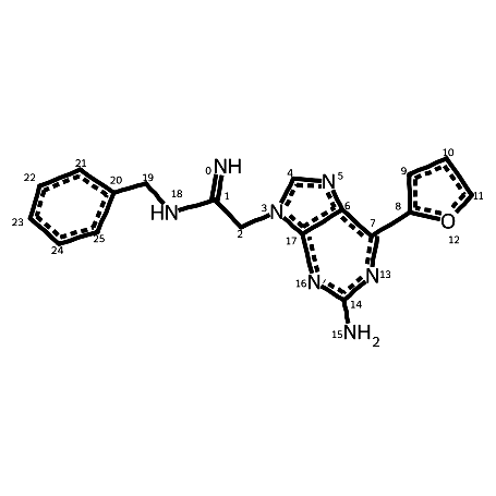 N=C(Cn1cnc2c(-c3ccco3)nc(N)nc21)NCc1ccccc1